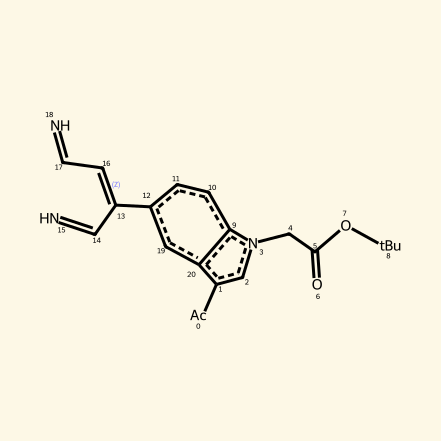 CC(=O)c1cn(CC(=O)OC(C)(C)C)c2ccc(/C(C=N)=C/C=N)cc12